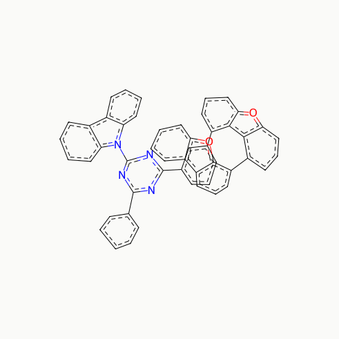 c1ccc(-c2nc(-c3cccc(-c4cccc5oc6cccc(-c7cccc8c7oc7ccccc78)c6c45)c3)nc(-n3c4ccccc4c4ccccc43)n2)cc1